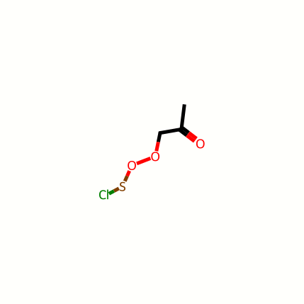 CC(=O)COOSCl